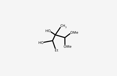 CCC(O)C(C)(O)C(OC)OC